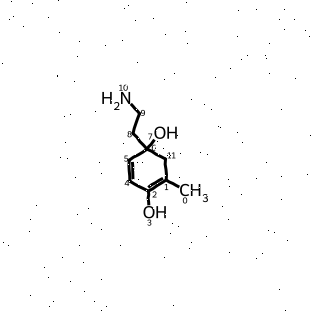 CC1=C(O)C=CC(O)(CCN)C1